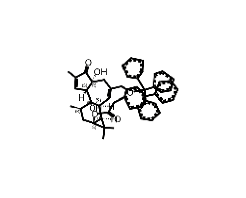 CC1=C[C@H]2[C@@]3(O)[C@H](C)C[C@]4(OC(=O)Cc5ccc(-c6ccccc6)cc5)[C@@H]([C@@H]3C=C(COC(c3ccccc3)(c3ccccc3)c3ccccc3)C[C@]2(O)C1=O)C4(C)C